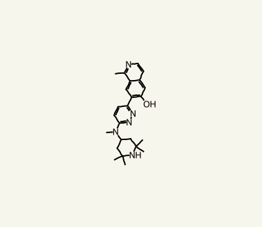 Cc1nccc2cc(O)c(-c3ccc(N(C)C4CC(C)(C)NC(C)(C)C4)nn3)cc12